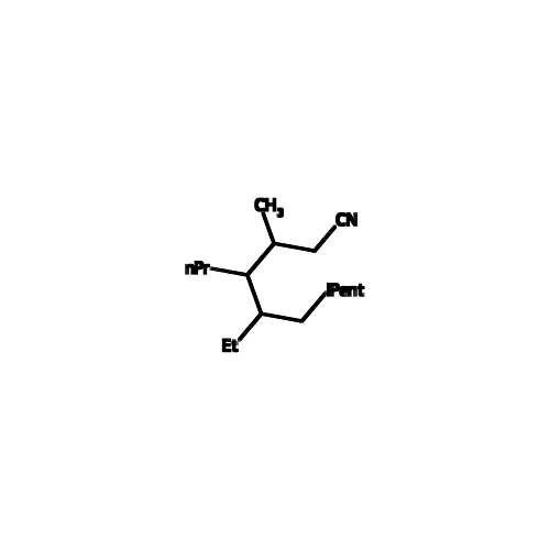 CCCC(C)CC(CC)C(CCC)C(C)CC#N